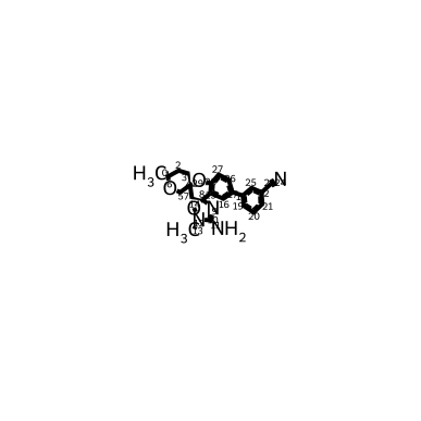 C[C@@H]1CC[C@]2(CO1)C[C@]1(N=C(N)N(C)O1)c1cc(-c3cccc(C#N)c3)ccc1O2